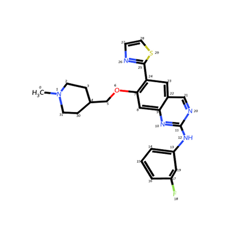 CN1CCC(COc2cc3nc(Nc4cccc(F)c4)ncc3cc2-c2nccs2)CC1